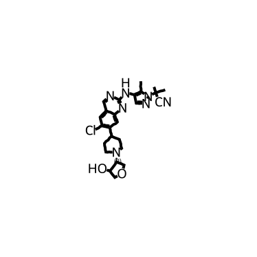 Cc1c(Nc2ncc3cc(Cl)c(C4CCN([C@@H]5COCC5O)CC4)cc3n2)cnn1C(C)(C)C#N